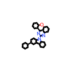 c1ccc(-c2ccc3c(c2)c2ccccc2n3-c2nc3c4c(cccc4n2)Oc2ccccc2-3)cc1